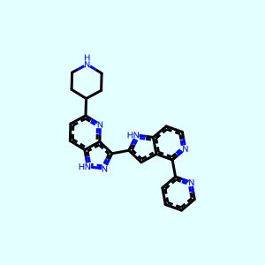 c1ccc(-c2nccc3[nH]c(-c4n[nH]c5ccc(C6CCNCC6)nc45)cc23)nc1